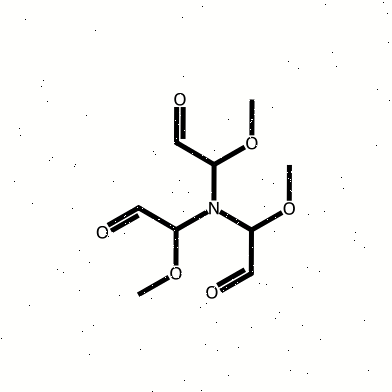 COC(C=O)N(C(C=O)OC)C(C=O)OC